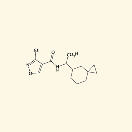 CCc1nocc1C(=O)NC(C(=O)O)C1CCCC2(CC2)C1